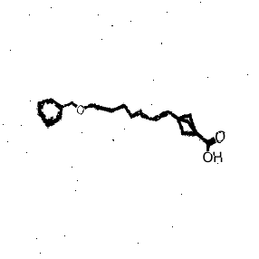 O=C(O)C12CC(/C=C/CCCCCOCc3ccccc3)(C1)C2